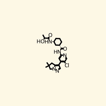 CC(O)C(=O)N[C@@H]1CCC[C@H](C(=O)Nc2cc(-c3cnn4c3CC(C)(C)C4)c(Cl)cn2)C1